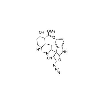 COC(=O)[C@@H]1C2CC([C@@]3(CCN=[N+]=[N-])C(=O)Nc4ccccc43)N(C#N)C[C@@H]2CC[C@@H]1O